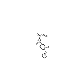 CNC(=O)C1CC(F)(c2ccc(CN3CCCC3)c(F)c2)C1